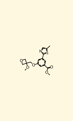 COC(=O)c1cc(OCC2(OC)COC2)cc(-c2ncc(C)s2)c1